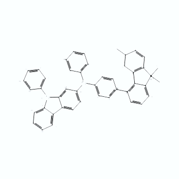 CC1C=CC2=C(C1)c1c(-c3ccc(N(c4ccccc4)c4ccc5c6ccccc6n(-c6ccccc6)c5c4)cc3)cccc1C2(C)C